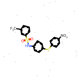 O=[N+]([O-])c1ccc(Sc2ccc(NS(=O)(=O)c3cccc(C(F)(F)F)c3)cc2)cc1